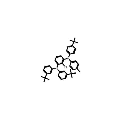 Cc1ccc(N(c2ccc(C(C)(C)C)cc2)c2cccc(N(c3cccc(C(C)(C)C)c3)c3cccc(C(C)(C)C)c3)c2Cl)cc1